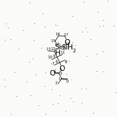 C=C(C)C(=O)OC(C)(C)C(C)(C)C(C)[SiH]1CCCO[SiH2]1